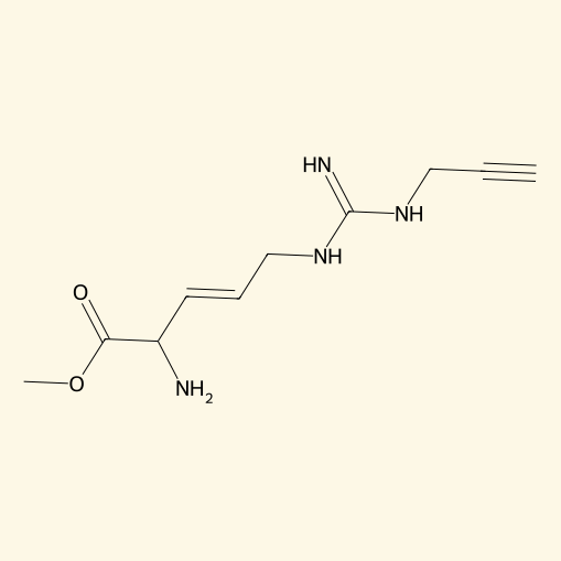 C#CCNC(=N)NCC=CC(N)C(=O)OC